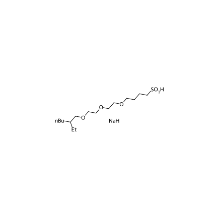 CCCCC(CC)COCCOCCOCCCCS(=O)(=O)O.[NaH]